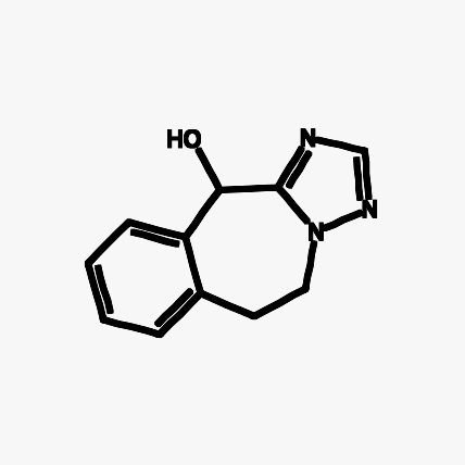 OC1c2ccccc2CCn2ncnc21